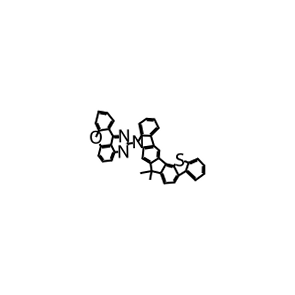 CC1(C)c2cc3c(cc2-c2c1ccc1c2sc2ccccc21)c1ccccc1n3-c1nc2c3c(cccc3n1)Oc1ccccc1-2